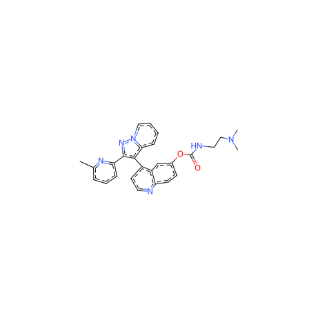 Cc1cccc(-c2nn3ccccc3c2-c2ccnc3ccc(OC(=O)NCCN(C)C)cc23)n1